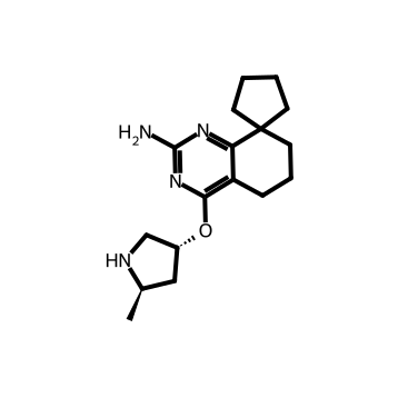 C[C@@H]1C[C@@H](Oc2nc(N)nc3c2CCCC32CCCC2)CN1